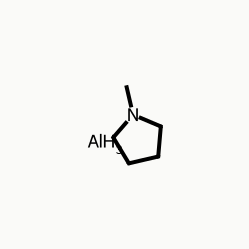 CN1CCCC1.[AlH3]